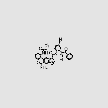 CC(=O)Nc1ccccc1-c1cc2c(C(=O)Nc3ccc(C#N)cc3C(O)C(=O)c3ccccc3)noc2cc1C(N)=O